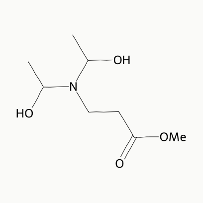 COC(=O)CCN(C(C)O)C(C)O